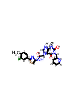 Cc1ccc(-c2nc(NC(=O)Cn3cnc4c3c(=O)n(Cc3ccccn3)c(=O)n4C)cs2)cc1F